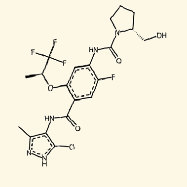 Cc1n[nH]c(Cl)c1NC(=O)c1cc(F)c(NC(=O)N2CCC[C@@H]2CO)cc1O[C@@H](C)C(F)(F)F